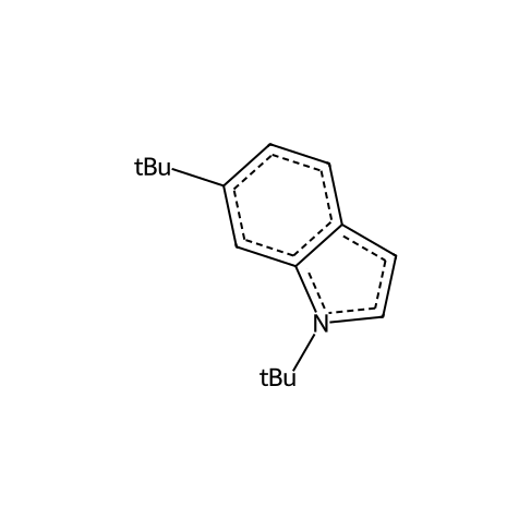 CC(C)(C)c1ccc2ccn(C(C)(C)C)c2c1